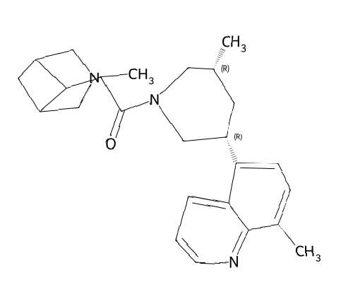 Cc1ccc([C@H]2C[C@@H](C)CN(C(=O)CC3C4CC3CN(C)C4)C2)c2cccnc12